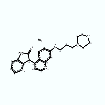 Cl.O=C1Nc2cccnc2C1c1ncnc2cc(OCCCN3CCOCC3)ccc12